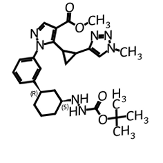 COC(=O)c1cnn(-c2cccc([C@@H]3CCC[C@H](NNC(=O)OC(C)(C)C)C3)c2)c1C1CC1c1cn(C)nn1